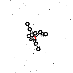 c1ccc(-c2ccc(N3c4ccccc4C4(c5ccccc53)c3ccccc3N(c3ccc(-c5ccccc5)cc3)c3ccc(-c5cccc6c5oc5ccccc56)cc34)cc2)cc1